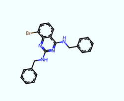 Brc1cccc2c(NCc3ccccc3)nc(NCc3ccccc3)nc12